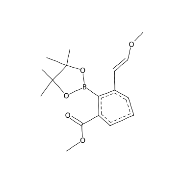 COC=Cc1cccc(C(=O)OC)c1B1OC(C)(C)C(C)(C)O1